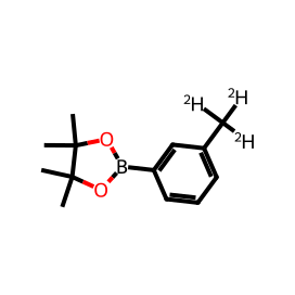 [2H]C([2H])([2H])c1cccc(B2OC(C)(C)C(C)(C)O2)c1